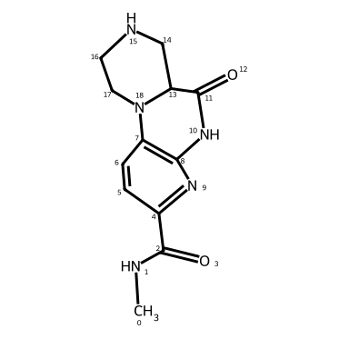 CNC(=O)c1ccc2c(n1)NC(=O)C1CNCCN21